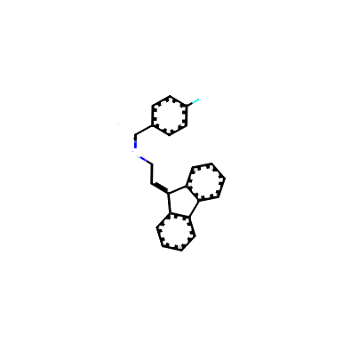 C[C@@H](NCC=C1c2ccccc2-c2ccccc21)c1ccc(F)cc1